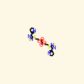 O=C(OCCSc1nsnc1C1CN2CCCC1C2)C(=O)OCCSc1nsnc1C1CN2CCCC1C2